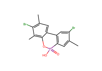 Cc1cc2c(cc1Br)-c1cc(C)c(Br)c(C)c1OP2(=O)O